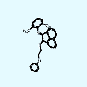 Cc1cccc(C)c1/N=C1/C(=N/CCOc2ccccc2)c2cccc3cccc1c23